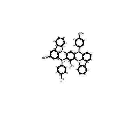 CC(C)(C)c1ccc(N2c3cccc4c3B(c3ccccc3-4)c3c2cc2c(c3C(C)(C)C)N(c3ccc(C(C)(C)C)cc3)c3cc(C(C)(C)C)cc4c3B2c2ccccc2-4)cc1